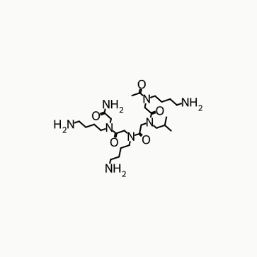 CC(=O)N(CCCCN)CC(=O)N(CC(=O)N(CCCCN)CC(=O)N(CCCCN)CC(N)=O)CC(C)C